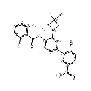 CN(C(=O)c1c(F)cccc1Cl)c1ncc(-c2cc(C(N)=O)ccc2Cl)cc1N1CC(F)(F)C1